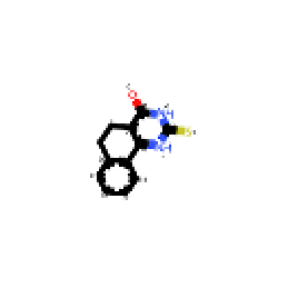 O=c1[nH]c(=S)[nH]c2c1CCc1ccccc1-2